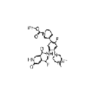 CC(C)OC(=O)N1CCC=C(c2cc(NC(=O)c3c[nH]c(=O)cc3C(F)F)c(N3CCN(C)[C@@H](C)C3)cc2F)C1